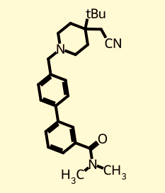 CN(C)C(=O)c1cccc(-c2ccc(CN3CCC(CC#N)(C(C)(C)C)CC3)cc2)c1